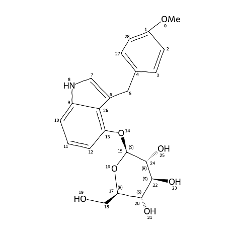 COc1ccc(Cc2c[nH]c3cccc(O[C@@H]4O[C@H](CO)[C@@H](O)[C@H](O)[C@H]4O)c23)cc1